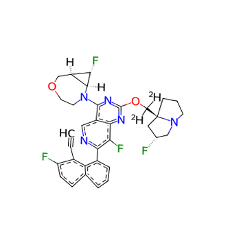 [2H]C([2H])(Oc1nc(N2CCOC[C@H]3[C@H](F)[C@H]32)c2cnc(-c3cccc4ccc(F)c(C#C)c34)c(F)c2n1)[C@@]12CCCN1C[C@H](F)C2